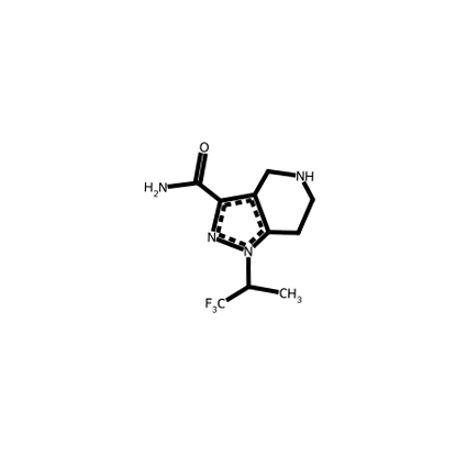 CC(n1nc(C(N)=O)c2c1CCNC2)C(F)(F)F